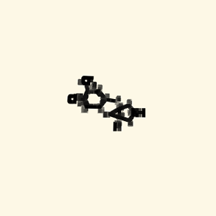 FC(F)(F)c1cc(C[C@]23CNC[C@H]2C3)ccc1Cl